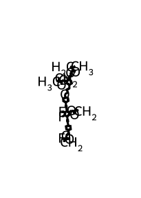 C=CC(=O)Oc1cc(C#Cc2ccc(COC(=O)C(=C)F)cc2)c(F)c(F)c1C#Cc1ccc(OC/C=C/c2ccc(/C=C/OC(=O)C(=C)C)c(OC(=O)C(=C)C)c2)cc1